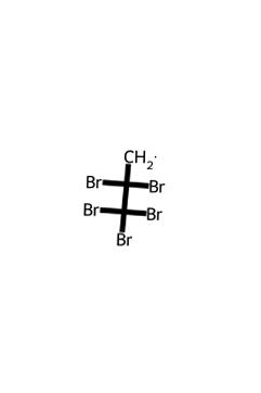 [CH2]C(Br)(Br)C(Br)(Br)Br